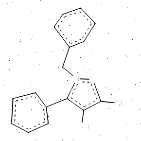 Nc1nn(Cc2ccccc2)c(-c2ccccc2)c1N